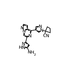 N#CC1(n2cc(-c3nc(-c4cc(N)[nH]n4)cn4nccc34)cn2)CCC1